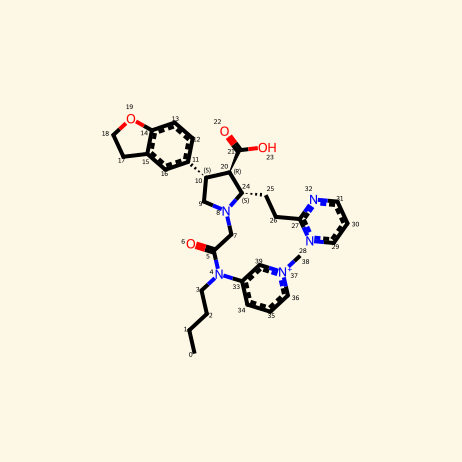 CCCCN(C(=O)CN1C[C@H](c2ccc3c(c2)CCO3)[C@@H](C(=O)O)[C@@H]1CCc1ncccn1)c1ccc[n+](C)c1